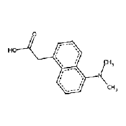 CN(C)c1cccc2c(CC(=O)O)cccc12